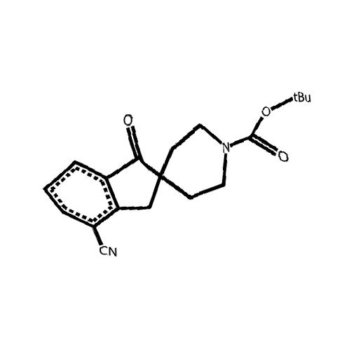 CC(C)(C)OC(=O)N1CCC2(CC1)Cc1c(C#N)cccc1C2=O